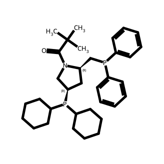 CC(C)(C)C(=O)N1C[C@H](P(C2CCCCC2)C2CCCCC2)C[C@@H]1CP(c1ccccc1)c1ccccc1